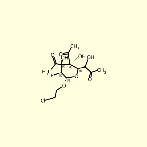 CC(=O)C(O)[C@H]1O[C@H](OCCCl)[C@@H](F)[C@](O)(C(C)=O)[C@@]1(O)C(C)=O